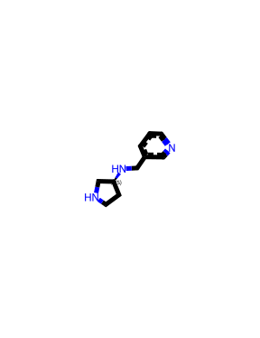 c1cncc(CN[C@H]2CCNC2)c1